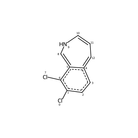 Clc1ccc2c(c1Cl)=CNC=CC=2